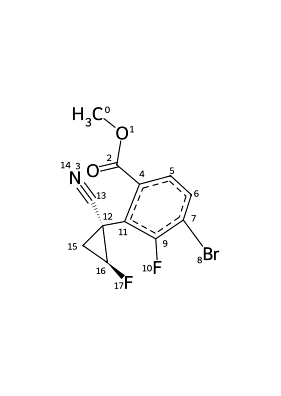 COC(=O)c1ccc(Br)c(F)c1[C@]1(C#N)C[C@@H]1F